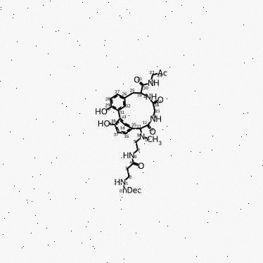 CCCCCCCCCCNCCC(=O)NCCN(C)C1C(=O)NCC(=O)NC(C(=O)NCC(C)=O)Cc2ccc(O)c(c2)-c2cc1ccc2O